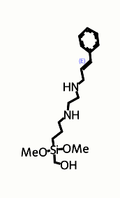 CO[Si](CO)(CCCNCCNC/C=C/c1ccccc1)OC